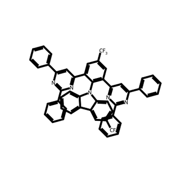 FC(F)(F)c1cc(-c2cc(-c3ccccc3)nc(-c3ccccc3)n2)c(-n2c3ccccc3c3cc(C(F)(F)F)ccc32)c(-c2cc(-c3ccccc3)nc(-c3ccccc3)n2)c1